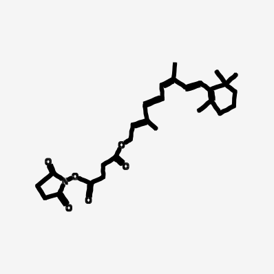 CC1=C(/C=C/C(C)=C\C=C\C(C)=C\COC(=O)CCC(=O)ON2C(=O)CCC2=O)C(C)(C)CCC1